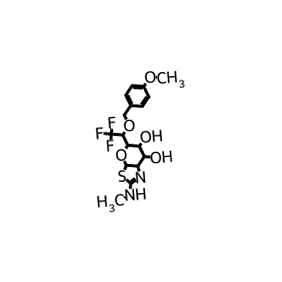 CNC1=NC2C(OC(C(OCc3ccc(OC)cc3)C(F)(F)F)C(O)C2O)S1